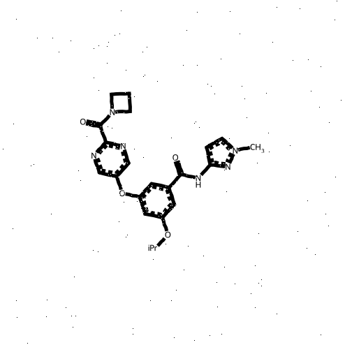 CC(C)Oc1cc(Oc2cnc(C(=O)N3CCC3)nc2)cc(C(=O)Nc2ccn(C)n2)c1